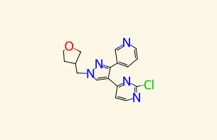 Clc1nccc(-c2cn(CC3CCOC3)nc2-c2cccnc2)n1